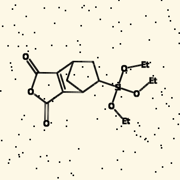 CCO[Si](OCC)(OCC)C1CC2CC1C1=C2C(=O)OC1=O